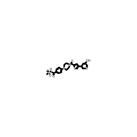 CS(=O)(=O)NC(=O)c1ccc(N2CCN(C(=O)c3cc(-c4cncc(O)c4)cs3)CC2)cc1